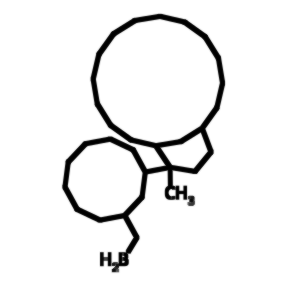 BCC1CCCCCCCC(C2(C)CCC3CCCCCCCCCCCCCC2C3)C1